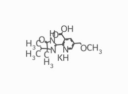 COCc1cnc(C2=NC(C)(C(C)C)C(=O)N2)c(C(=O)O)c1.[KH]